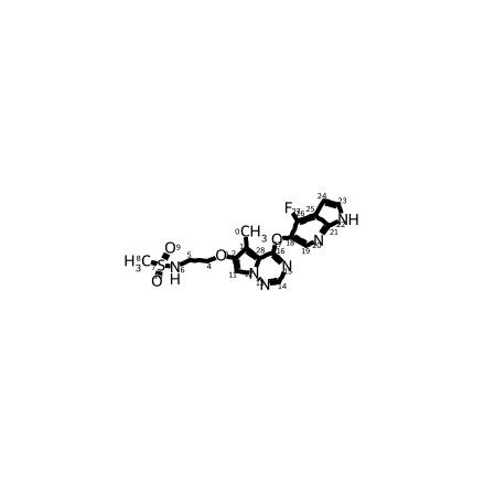 Cc1c(OCCNS(C)(=O)=O)cn2ncnc(Oc3cnc4[nH]ccc4c3F)c12